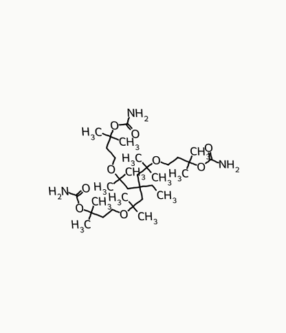 CCC(CC(C)(C)OCCC(C)(C)OC(N)=O)(CC(C)(C)OCCC(C)(C)OC(N)=O)CC(C)(C)OCCC(C)(C)OC(N)=O